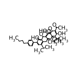 CCCCc1ccc(-c2cc(C(C)C)c3c(c2O)C(=O)C2=C(O)[C@@]4(O)C(=O)C(C(C)=O)=C(O)C(C(C)C)[C@@]4(C)C[C@@]2(C)C3)cc1